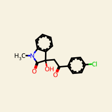 CN1C(=O)C(O)(CC(=O)c2ccc(Cl)cc2)c2ccccc21